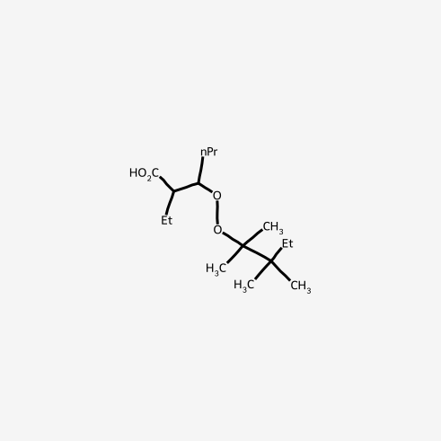 CCCC(OOC(C)(C)C(C)(C)CC)C(CC)C(=O)O